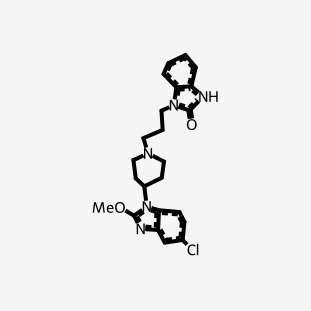 COc1nc2cc(Cl)ccc2n1C1CCN(CCCn2c(=O)[nH]c3ccccc32)CC1